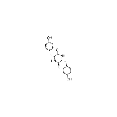 O=C1N[C@H](Cc2ccc(O)cc2)C(=O)N[C@@H]1Cc1ccc(O)cc1